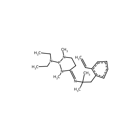 C=Cc1ccccc1CC(C)(C)N=C1CCN(C)P(N(CC)CC)N1C